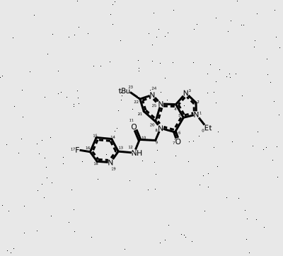 CCn1cnc2c1c(=O)n(CC(=O)Nc1ccc(F)cn1)c1cc(C(C)(C)C)nn21